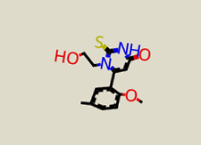 COc1ccc(C)cc1-c1cc(=O)[nH]c(=S)n1CCO